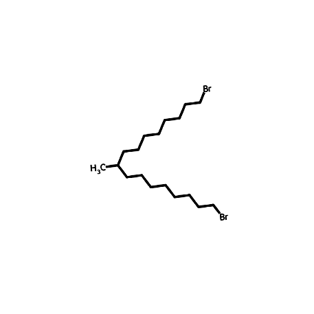 CC(CCCCCCCCBr)CCCCCCCCBr